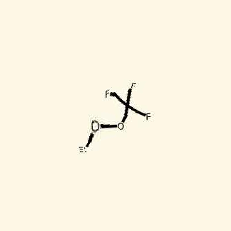 CCOOC(F)(F)F